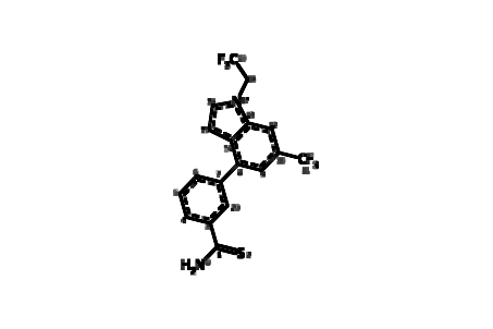 NC(=S)c1cccc(-c2cc(C(F)(F)F)cc3c2ccn3CC(F)(F)F)c1